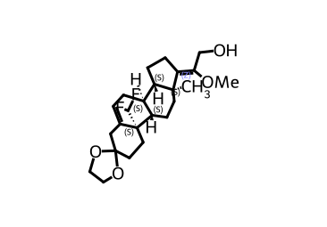 CO/C(CO)=C1/CC[C@H]2[C@@H]3CC=C4CC5(CC[C@]4(C(F)F)[C@H]3CC[C@]12C)OCCO5